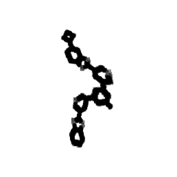 Cc1cc(-c2cncc(-c3nc4ccccc4s3)c2)cc(-c2cncc(-c3nc4cc(C5CCC5)ccc4s3)c2)c1